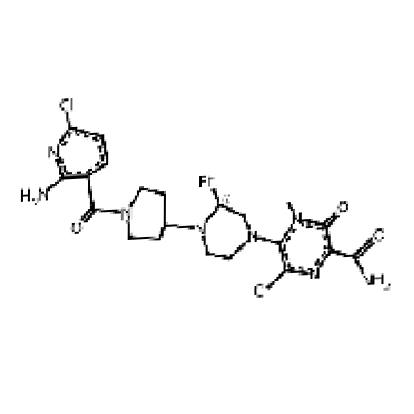 CC[C@H]1CN(c2c(Cl)nc(C(N)=O)c(=O)n2C)CCN1C1CCN(C(=O)c2ccc(Cl)nc2N)CC1